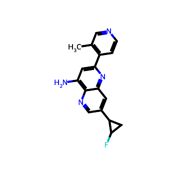 Cc1cnccc1-c1cc(N)c2ncc(C3CC3F)cc2n1